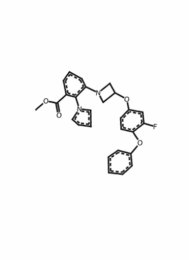 COC(=O)c1cccc(N2CC(Oc3ccc(Oc4ccccc4)c(F)c3)C2)c1-n1cccc1